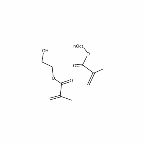 C=C(C)C(=O)OCCCCCCCC.C=C(C)C(=O)OCCO